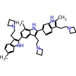 Cc1ccc2c(CCN3CCC3)c(-c3cc(C)c4[nH]c(-c5ccc6c(CCN7CCC7)c(C)[nH]c6c5)c(CCN5CCC5)c4c3)[nH]c2c1